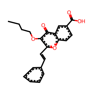 CCCCOc1c(/C=C/c2ccccc2)oc2ccc(C(=O)O)cc2c1=O